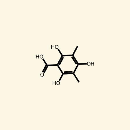 Cc1c(O)c(C)c(O)c(C(=O)O)c1O